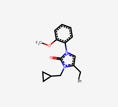 CC(C)Cc1cn(-c2ccccc2OC(F)(F)F)c(=O)n1CC1CC1